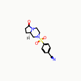 N#Cc1ccc(S(=O)(=O)N2CCN3C(=O)CC[C@@H]3C2)cc1